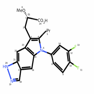 CO[C@@H](Cc1c(C(C)C)n(-c2ccc(F)c(F)c2)c2cc3cn[nH]c3cc12)C(=O)O